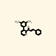 Cc1cc(C)cc(-c2cccnc2C(=O)C=Cc2ccccc2)c1